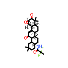 CC1(C)CC[C@]2(NC(=O)C(C)(F)F)CC[C@]3(C)C(C(=O)C=C4[C@@]5(C)[C@H]6O[C@@]6(C#N)C(=O)C(C)(C)[C@@H]5CC[C@]43C)C2C1